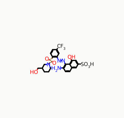 Nc1ccc2cc(S(=O)(=O)O)cc(O)c2c1/N=N/c1cc(C(F)(F)F)ccc1S(=O)(=O)N1CCCC(CO)C1